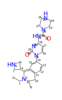 CCN(CC1CNC1)C(C)Cc1ccc(-n2ccc(NC(=O)N3CCNCC3)nc2=O)cc1